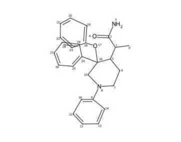 CC(C(N)=O)C1CCN(c2ccccc2)CC1(Oc1ccccc1)c1ccccc1